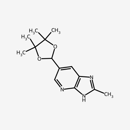 Cc1nc2cc(C3OC(C)(C)C(C)(C)O3)cnc2[nH]1